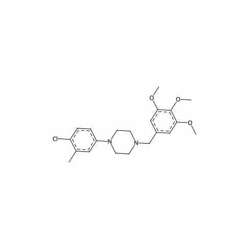 COc1cc(CN2CCN(c3ccc(Cl)c(C)c3)CC2)cc(OC)c1OC